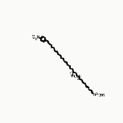 CCCCCC=CCC=CCCCCCCCC(CCCCCCCC=CCC=CCCCCCc1ccc([N+](=O)[O-])cc1)OC(=O)O